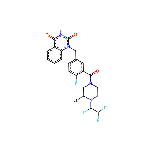 CCC1CN(C(=O)c2cc(Cn3c(=O)[nH]c(=O)c4ccccc43)ccc2F)CCN1C(F)C(F)F